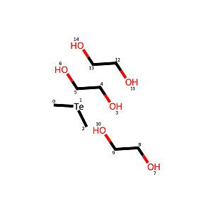 C[Te]C.OCCO.OCCO.OCCO